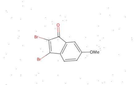 COc1ccc2c(c1)C(=O)C(Br)=C2Br